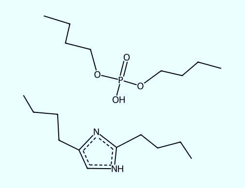 CCCCOP(=O)(O)OCCCC.CCCCc1c[nH]c(CCCC)n1